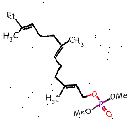 CCC(C)=CCCC(C)=CCCC(C)=CCOP(=O)(OC)OC